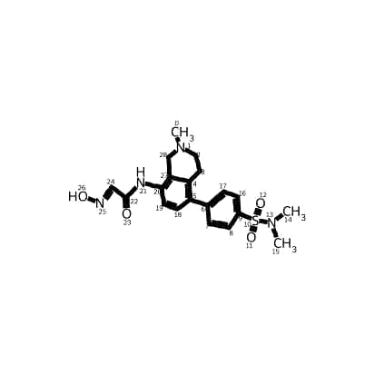 CN1CCc2c(-c3ccc(S(=O)(=O)N(C)C)cc3)ccc(NC(=O)C=NO)c2C1